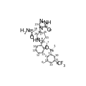 Cc1cc([C@@H](C)OC[C@@]2(c3ccccc3)CC[C@](CC(N)=O)(n3cn[nH]c3=O)CN2)cc(C(F)(F)F)c1